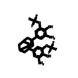 Nc1cc(C23CC4CC(C2)CC(c2cc(N)c(O)c(OC(F)(F)F)c2)(C4)C3)cc(OC(F)(F)F)c1O